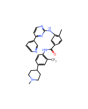 Cc1ccc(C(=O)Nc2ccc(C3CCN(C)CC3)cc2C(F)(F)F)cc1Nc1nccc(-c2cccnc2)n1